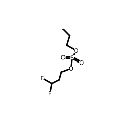 CCCOS(=O)(=O)OCCC(F)F